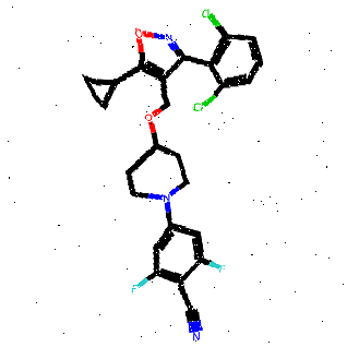 N#Cc1c(F)cc(N2CCC(OCc3c(-c4c(Cl)cccc4Cl)noc3C3CC3)CC2)cc1F